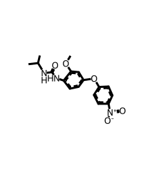 COc1cc(Oc2ccc([N+](=O)[O-])cc2)ccc1NC(=O)NC(C)C